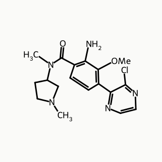 COc1c(-c2nccnc2Cl)ccc(C(=O)N(C)C2CCN(C)C2)c1N